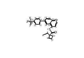 CCC1(C(=O)Sc2ccnc3ccc(-c4ccc(C(F)(F)F)cc4)cc23)CCC1